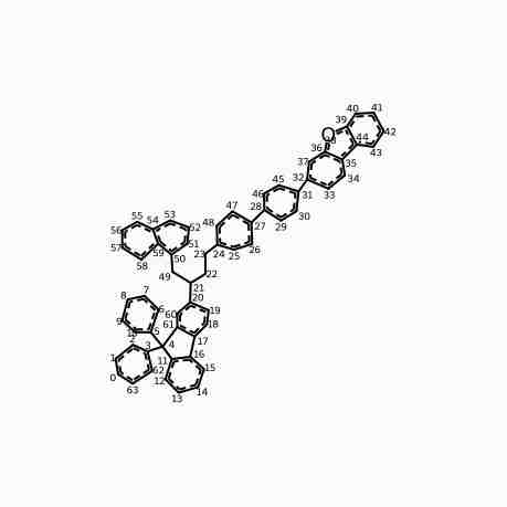 c1ccc(C2(c3ccccc3)c3ccccc3-c3ccc(C(CCc4ccc(-c5ccc(-c6ccc7c(c6)oc6ccccc67)cc5)cc4)Cc4cccc5ccccc45)cc32)cc1